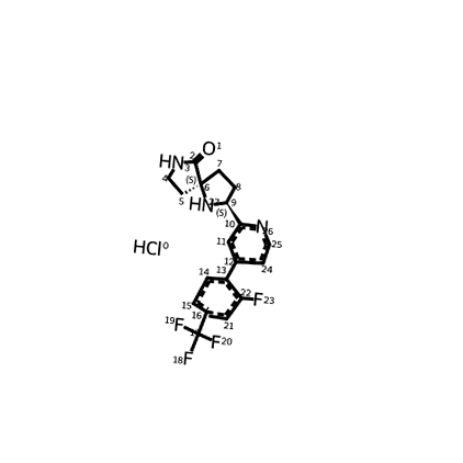 Cl.O=C1NCC[C@@]12CC[C@@H](c1cc(-c3ccc(C(F)(F)F)cc3F)ccn1)N2